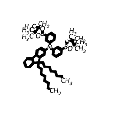 CCCCCCCCC1(CCCCCCCC)c2ccccc2-c2ccc(N(c3cccc(B4OC(C)(C)C(C)(C)O4)c3)c3cccc(B4OC(C)(C)C(C)(C)O4)c3)cc21